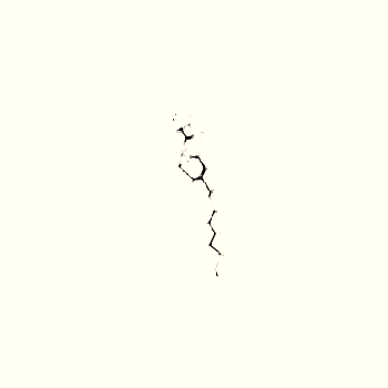 COCCCCCOCC1CCN(OC(=O)C(F)(F)F)CC1